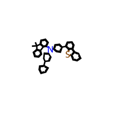 CC1(C)c2ccccc2-c2c(N(C3=CCC(c4ccccc4)C=C3)c3ccc(-c4cccc5c4sc4ccccc45)cc3)cccc21